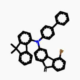 CC1(C)c2ccccc2-c2c(N(c3ccc(-c4ccccc4)cc3)c3ccc4c(c3)-c3c(Br)cccc3B4)cccc21